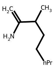 C=C(N)C(C)CCCCC